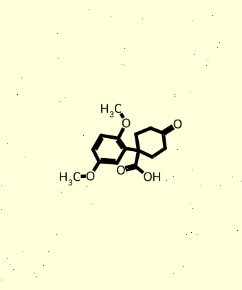 COc1ccc(OC)c(C2(C(=O)O)CCC(=O)CC2)c1